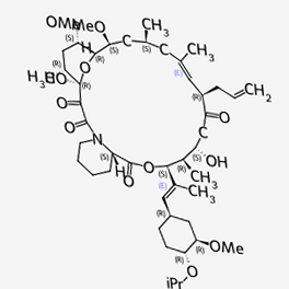 C=CC[C@@H]1/C=C(\C)C[C@H](C)C[C@H](OC)[C@H]2O[C@@](O)(C(=O)C(=O)N3CCCC[C@H]3C(=O)O[C@H](/C(C)=C/[C@@H]3CC[C@@H](OC(C)C)[C@H](OC)C3)[C@H](C)[C@@H](O)CC1=O)[C@H](C)C[C@@H]2OC